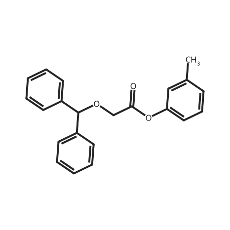 Cc1cccc(OC(=O)COC(c2ccccc2)c2ccccc2)c1